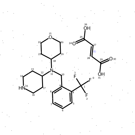 FC(F)(F)c1ccccc1CN(C1CCNCC1)C1CCOCC1.O=C(O)/C=C/C(=O)O